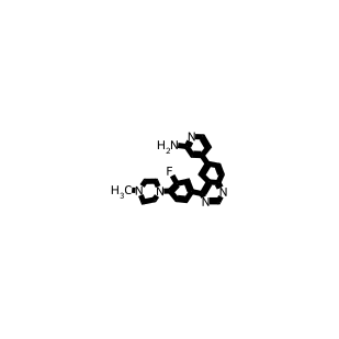 CN1CCN(c2ccc(-c3ncnc4ccc(-c5ccnc(N)c5)cc34)cc2F)CC1